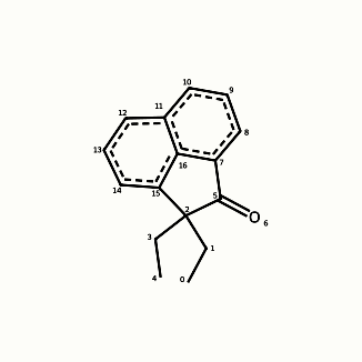 CCC1(CC)C(=O)c2cccc3cccc1c23